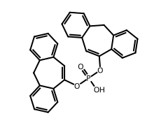 O=P(O)(OC1=Cc2ccccc2Cc2ccccc21)OC1=Cc2ccccc2Cc2ccccc21